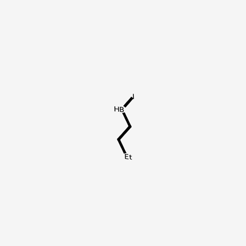 CCCCBI